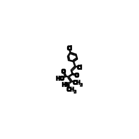 CN/C(C)=C(\C(=O)O)C(=O)C=C(Cl)c1ccc(Cl)cc1